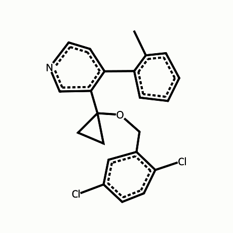 Cc1ccccc1-c1ccncc1C1(OCc2cc(Cl)ccc2Cl)CC1